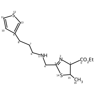 CCOC(=O)C1N=C(CNCCCc2ccsc2)SC1C